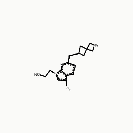 OCCn1cc(C(F)(F)F)c2ccc(CC3CC4(CNC4)C3)nc21